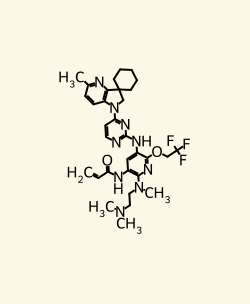 C=CC(=O)Nc1cc(Nc2nccc(N3CC4(CCCCC4)c4nc(C)ccc43)n2)c(OCC(F)(F)F)nc1N(C)CCN(C)C